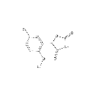 CCOc1ccc(Cl)cc1C1OC(=O)NC1=O